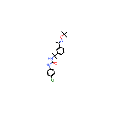 C/C(=N\OC(C)(C)C)c1cccc(C(C)(C)NC(=O)Nc2ccc(Cl)cc2)c1